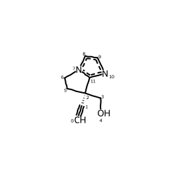 C#C[C@]1(CO)CCn2ccnc21